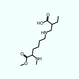 CCC(CNCCCCC(NC)C(=O)OC)C(=O)O